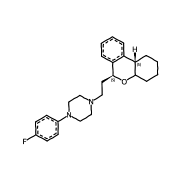 Fc1ccc(N2CCN(CC[C@@H]3OC4CCCC[C@H]4c4ccccc43)CC2)cc1